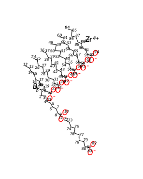 CCCCCCCCCC(=O)[O-].CCCCCCCCCC(=O)[O-].CCCCCCCCCC(=O)[O-].CCCCCCCCCC(=O)[O-].CCCCCCCCCC(=O)[O-].CCCCCCCCCC(=O)[O-].CCCCCCCCCC(=O)[O-].CCCCCCCCCC(=O)[O-].[B+3].[Zr+4]